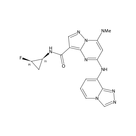 CNc1cc(Nc2cccn3cnnc23)nc2c(C(=O)N[C@H]3C[C@H]3F)cnn12